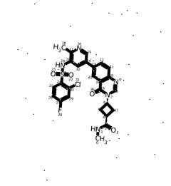 CNC(=O)[C@H]1C[C@H](n2cnc3ccc(-c4cnc(C)c(NS(=O)(=O)c5ccc(F)cc5Cl)c4)cc3c2=O)C1